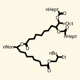 CCCCCCCCCC(CCCCCCCC(=O)OCC(CC)CCCC)OC(=O)CCCCCCCC(OC(=O)CCCCCCC)C(CCCCCCCC)OC(=O)CCCCCCC